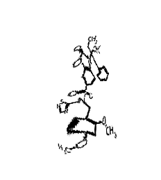 CCC(O)(c1ccccc1)n1c(=O)oc2cc(S(=O)(=O)N(Cc3ccc(OC)cc3OC)c3ncns3)ccc21